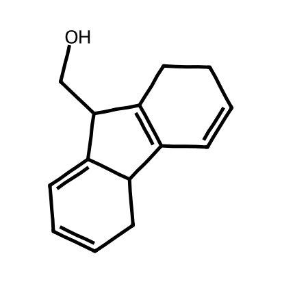 OCC1C2=CC=CCC2C2=C1CCC=C2